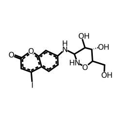 O=c1cc(I)c2ccc(NC3NOC(CO)[C@@H](O)C3O)cc2o1